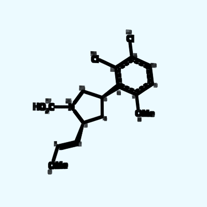 COC=C[C@@H]1C[C@H](c2c(OC)ccc(Cl)c2Cl)CN1C(=O)O